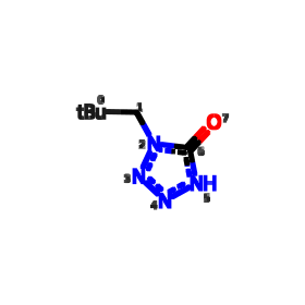 CC(C)(C)Cn1nn[nH]c1=O